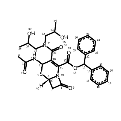 CC(=O)NC1S[C@H]2CC(=O)N2C(C(=O)OC(c2ccccc2)c2ccccc2)=C1C(=O)N(CC(C)O)CC(C)O